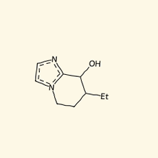 CCC1CCn2ccnc2C1O